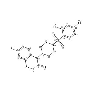 Cc1ccc2c(c1)COC(=O)N2C1CCN(S(=O)(=O)c2cnc(Cl)cc2Cl)CC1